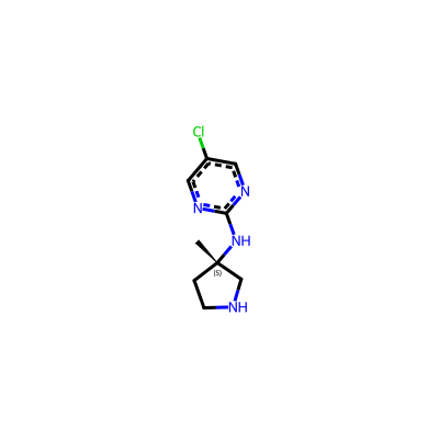 C[C@]1(Nc2ncc(Cl)cn2)CCNC1